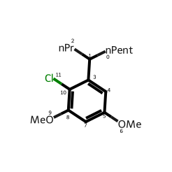 CCCCCC(CCC)c1cc(OC)cc(OC)c1Cl